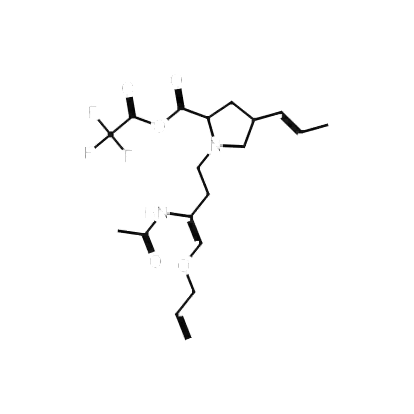 C=CCOC=C(CCN1CC(C=CC)CC1C(=O)OC(=O)C(F)(F)F)NC(C)=O